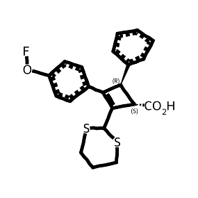 O=C(O)[C@@H]1C(C2SCCCS2)=C(c2ccc(OF)cc2)[C@H]1c1ccccc1